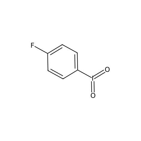 O=I(=O)c1ccc(F)cc1